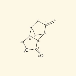 C=C1CC2CC1C1C(=O)OCC21